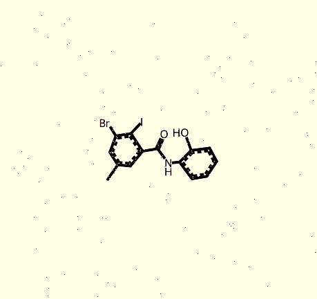 Cc1cc(Br)c(I)c(C(=O)Nc2ccccc2O)c1